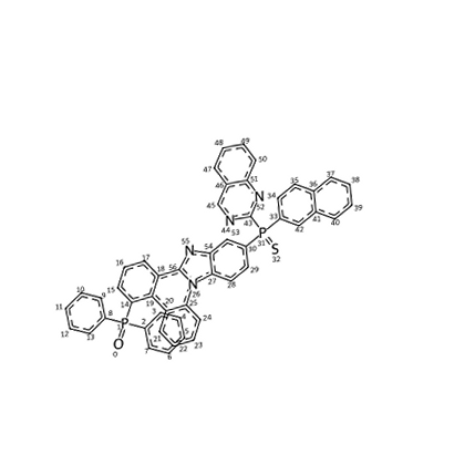 O=P(c1ccccc1)(c1ccccc1)c1cccc2c1c1ccccc1n1c3ccc(P(=S)(c4ccc5ccccc5c4)c4ncc5ccccc5n4)cc3nc21